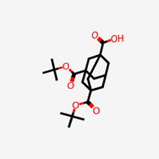 CC(C)(C)OC(=O)C12CC3CC(C(=O)O)(C1)CC(C(=O)OC(C)(C)C)(C3)C2